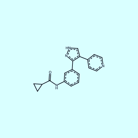 O=C(Nc1cccc(-c2n[nH]cc2-c2ccncc2)c1)C1CC1